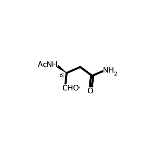 CC(=O)N[C@H]([C]=O)CC(N)=O